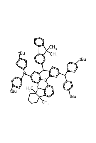 CC(C)(C)c1ccc(C(c2ccc(C(C)(C)C)cc2)c2ccc3c(c2)B2c4cccc5c4N(c4cc(N(c6ccc(C(C)(C)C)cc6)c6ccc(C(C)(C)C)cc6)cc(c42)C3c2ccc3c(c2)C(C)(C)c2ccccc2-3)C2(C)CCCCC52C)cc1